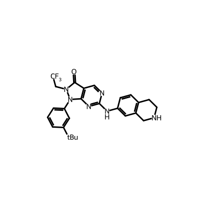 CC(C)(C)c1cccc(-n2c3nc(Nc4ccc5c(c4)CNCC5)ncc3c(=O)n2CC(F)(F)F)c1